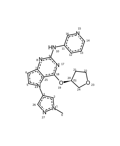 Cn1cc(-n2ccc3nc(Nc4cccnc4)nc(O[C@H]4CCOC4)c32)cn1